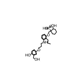 CCCc1c(NCCCOc2ccc(O)c(CO)c2)cccc1OCC1([PH](=O)O)CCCCC1O